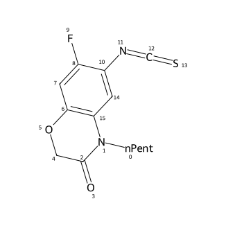 CCCCCN1C(=O)COc2cc(F)c(N=C=S)cc21